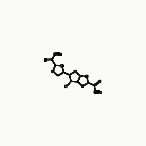 COC(=O)C1OCC(C2OC3OC(C(=O)OC)OC3C2Cl)O1